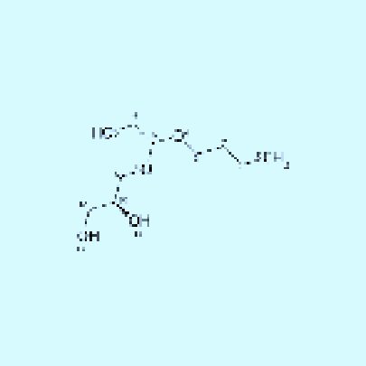 CCCCO[C@@H](CO)OC[C@@H](O)CO